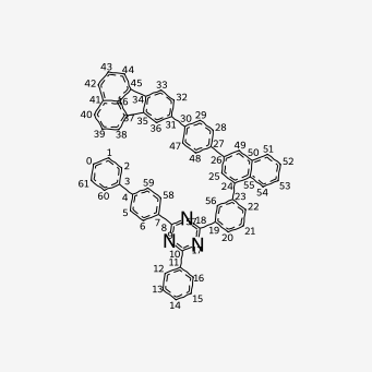 c1ccc(-c2ccc(-c3nc(-c4ccccc4)nc(-c4cccc(-c5cc(-c6ccc(-c7ccc8c(c7)-c7cccc9cccc-8c79)cc6)cc6ccccc56)c4)n3)cc2)cc1